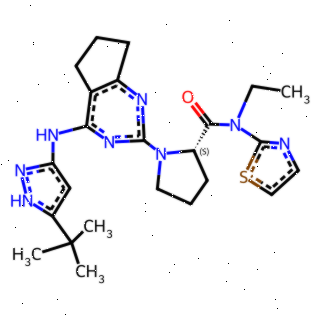 CCN(C(=O)[C@@H]1CCCN1c1nc2c(c(Nc3cc(C(C)(C)C)[nH]n3)n1)CCC2)c1nccs1